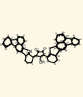 O=C1C(=O)/C(=C2/CCCC3C2=Nc2c3cc3c4c(cccc24)-c2ccccc2-3)C(O)=C1C1=C2Cc3c(cc4c5c(cccc35)-c3ccccc3-4)C2CCC1